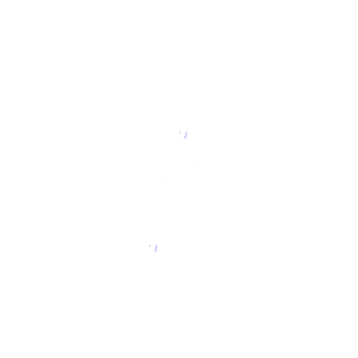 CC(C)(C)CCNS(=O)(=O)c1ccc(N)cc1